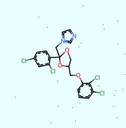 Clc1ccc(C2(Cn3ccnc3)OCC(COc3cccc(Cl)c3Cl)O2)c(Cl)c1